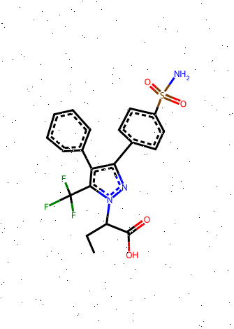 CCC(C(=O)O)n1nc(-c2ccc(S(N)(=O)=O)cc2)c(-c2ccccc2)c1C(F)(F)F